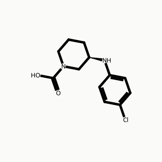 O=C(O)N1CCC[C@@H](Nc2ccc(Cl)cc2)C1